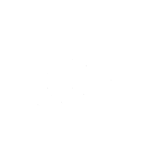 COC(=O)Nc1cc(Nc2cc(N(Cc3ccc(OC)cc3)c3ccccn3)c3ncc(C#N)n3n2)ccc1F